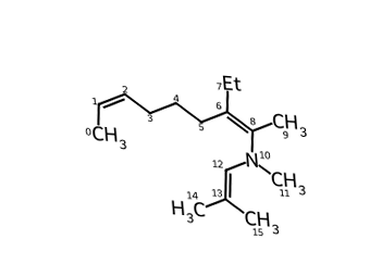 C/C=C\CCC/C(CC)=C(/C)N(C)C=C(C)C